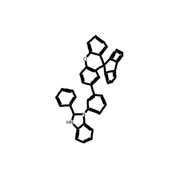 c1ccc(C2Nc3ccccc3N2c2cccc(-c3ccc4c(c3)C3(c5ccccc5O4)c4ccccc4-c4ccccc43)c2)cc1